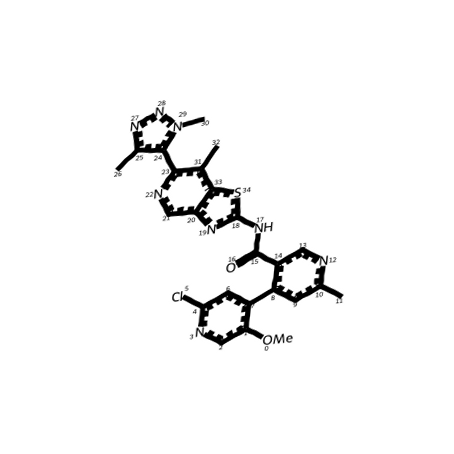 COc1cnc(Cl)cc1-c1cc(C)ncc1C(=O)Nc1nc2cnc(-c3c(C)nnn3C)c(C)c2s1